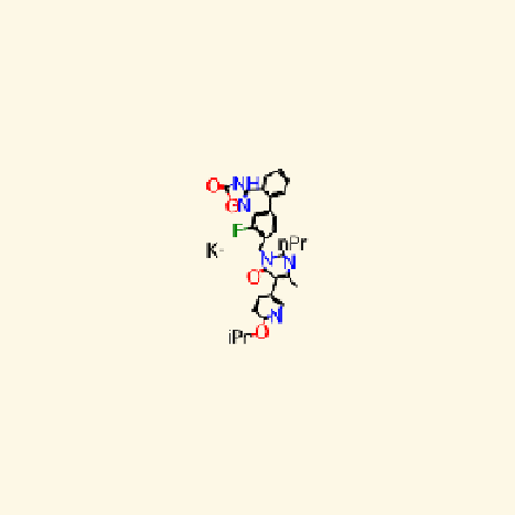 CCCc1nc(C)c(-c2ccc(OC(C)C)nc2)c(=O)n1Cc1ccc(-c2ccccc2-c2noc(=O)[nH]2)cc1F.[K]